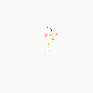 CCS(=O)(=O)OSCF